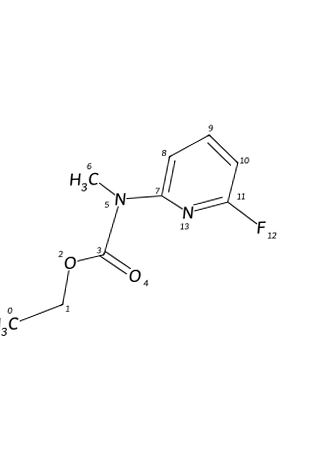 CCOC(=O)N(C)c1cccc(F)n1